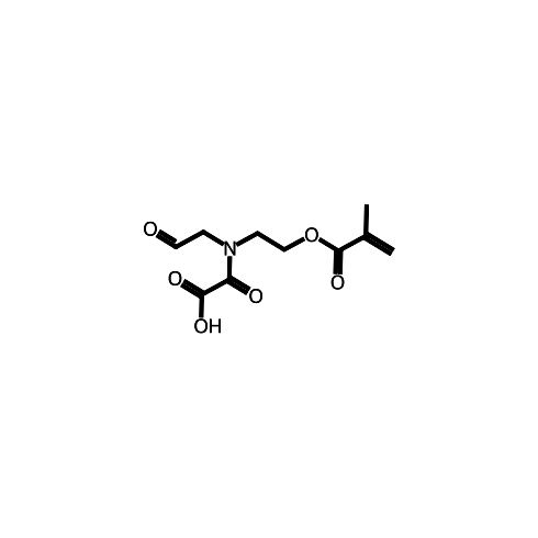 C=C(C)C(=O)OCCN(CC=O)C(=O)C(=O)O